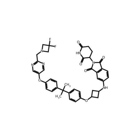 CC(C)(c1ccc(Oc2cnc(CN3CC(F)(F)C3)nc2)cc1)c1ccc(OC2CC(Nc3ccc4c(c3)C(=O)N(C3CCC(=O)NC3=O)C4=O)C2)cc1